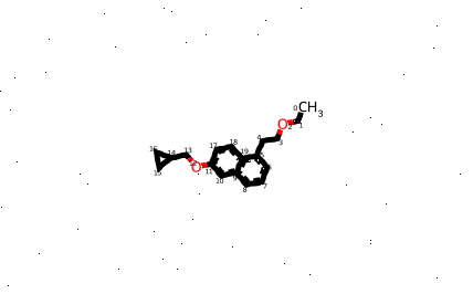 CCOCCc1cccc2cc(OCC3CC3)ccc12